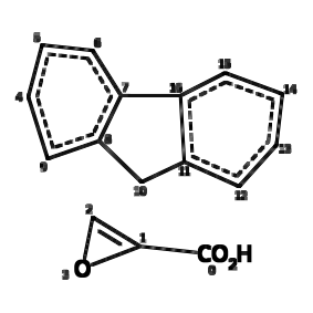 O=C(O)C1=CO1.c1ccc2c(c1)Cc1ccccc1-2